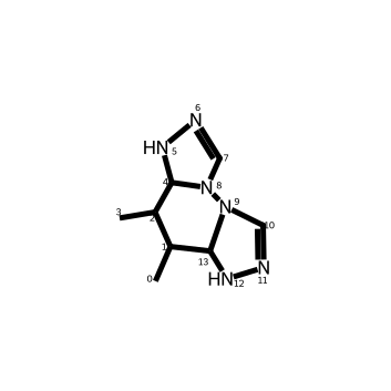 CC1C(C)C2NN=CN2N2C=NNC12